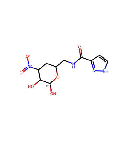 O=C(NCC1CC([N+](=O)[O-])C(O)[C@H](O)O1)c1cc[nH]n1